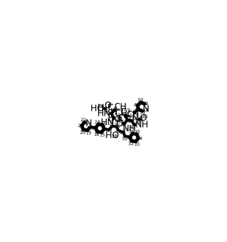 CC(C)(C)C(NC(=O)O)C(=O)NC(Cc1ccc(-c2ccccn2)cc1)CC(O)C(Cc1ccccc1)NC(=O)C(C1CNC(=O)N1Cc1cccnc1)C(C)(C)C